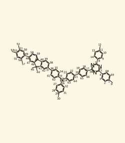 Cc1ccc(-c2nc(-c3ccc(C)cc3)nc(-c3ccc(-c4ccc(N(c5ccc(C)cc5)c5ccc(-c6ccc7c(c6)C(C)(C)c6cc(-c8cc(C)c(C)cc8C)ccc6-7)cc5)cc4)cc3)n2)cc1